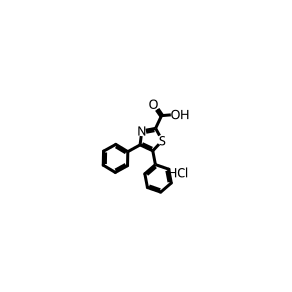 Cl.O=C(O)c1nc(-c2ccccc2)c(-c2ccccc2)s1